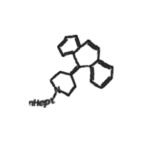 CCCCCCCN1CCC(=C2c3ccccc3C=Cc3ccccc32)CC1